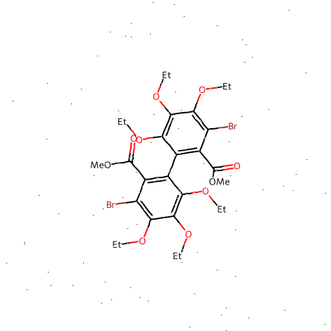 CCOc1c(Br)c(C(=O)OC)c(-c2c(OCC)c(OCC)c(OCC)c(Br)c2C(=O)OC)c(OCC)c1OCC